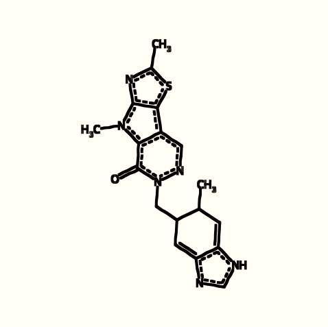 Cc1nc2c(s1)c1cnn(CC3C=c4nc[nH]c4=CC3C)c(=O)c1n2C